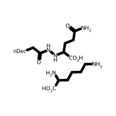 CCCCCCCCCCCC(=O)NNC(CCC(N)=O)C(=O)O.NCCCCC(N)C(=O)O